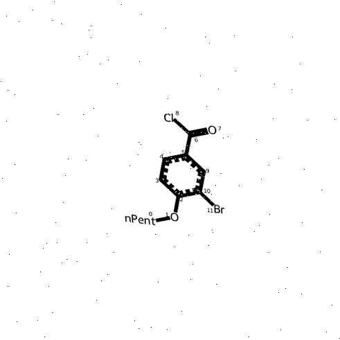 CCCCCOc1ccc(C(=O)Cl)cc1Br